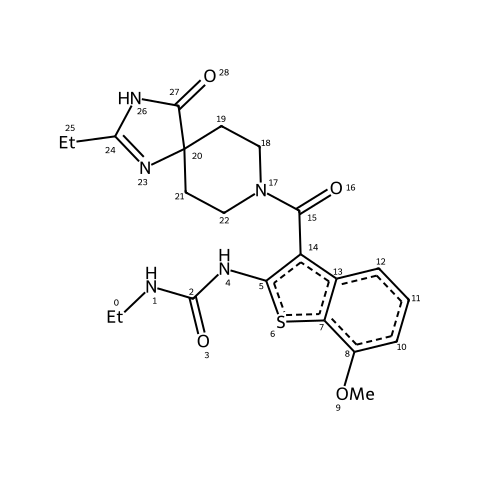 CCNC(=O)Nc1sc2c(OC)cccc2c1C(=O)N1CCC2(CC1)N=C(CC)NC2=O